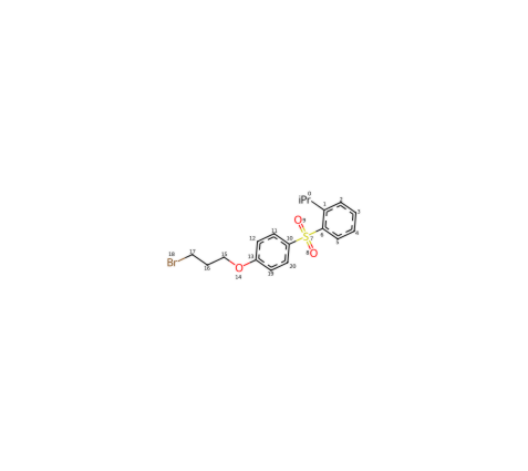 CC(C)c1ccccc1S(=O)(=O)c1ccc(OCCCBr)cc1